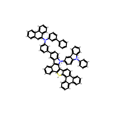 c1ccc(-c2cccc(N(c3cccc(-c4ccc5c(c4)c4c6ccccc6c6sc7c(ccc8c9ccccc9c9ccccc9c87)c6c4n5-c4ccc5c(c4)c4ccccc4n5-c4ccccc4)c3)c3cc4ccccc4c4ccccc34)c2)cc1